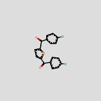 O=C(c1ccc(Cl)cc1)c1ccc(C(=O)c2ccc(Cl)cc2)s1